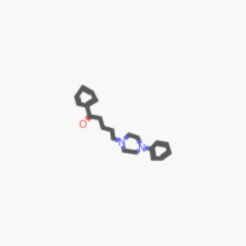 O=C(CCCCN1CCN(c2ccccc2)CC1)c1ccccc1